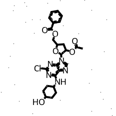 CC(=O)OC1CC(COC(=O)c2ccccc2)OC1n1cnc2c(NC3CCC(O)CC3)nc(Cl)nc21